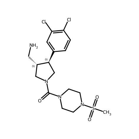 CS(=O)(=O)N1CCN(C(=O)N2C[C@H](CN)[C@@H](c3ccc(Cl)c(Cl)c3)C2)CC1